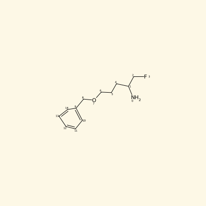 NC(CF)CCCOCc1ccccc1